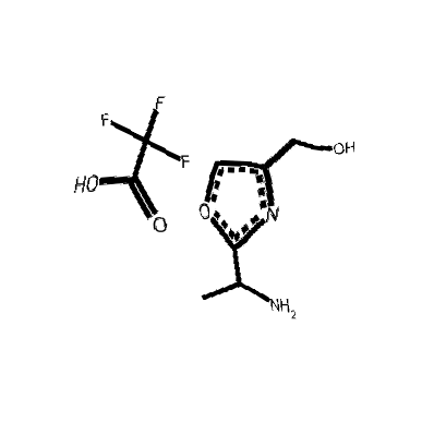 CC(N)c1nc(CO)co1.O=C(O)C(F)(F)F